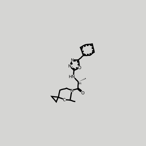 CC1CC2(CCN1C(=O)[C@@H](C)Nc1nnc(-c3ccccc3)o1)CC2